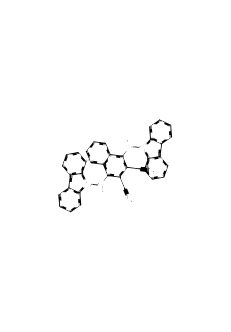 CN(c1c(C#N)c(C#N)c(N(C)n2c3ccccc3c3ccccc32)c2ccccc12)n1c2ccccc2c2ccccc21